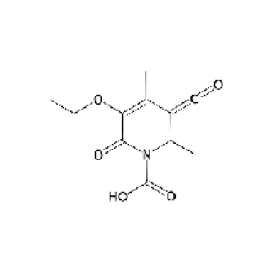 CCOC1=C(C)C(=C=O)C(C)N(C(=O)O)C1=O